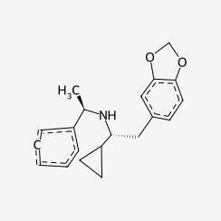 C[C@@H](N[C@H](Cc1ccc2c(c1)OCO2)C1CC1)c1ccccc1